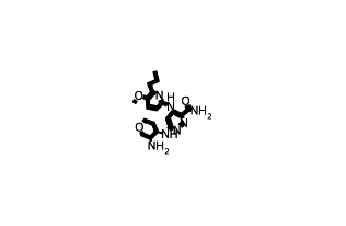 CCCc1nc(Nc2cc(N[C@@H]3CCOC[C@@H]3N)nnc2C(N)=O)ccc1OC